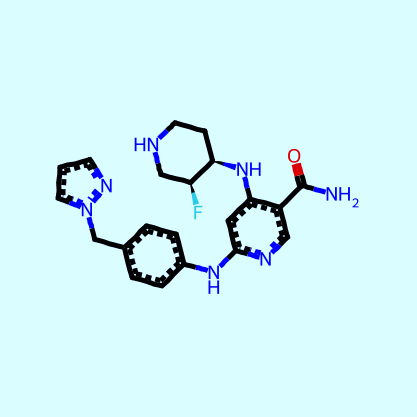 NC(=O)c1cnc(Nc2ccc(Cn3cccn3)cc2)cc1N[C@@H]1CCNC[C@@H]1F